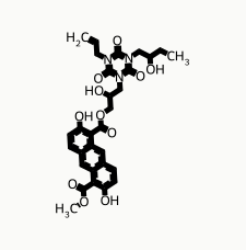 C=CCn1c(=O)n(CC(O)CC)c(=O)n(CC(O)COC(=O)c2c(O)ccc3cc4c(C(=O)OC)c(O)ccc4cc23)c1=O